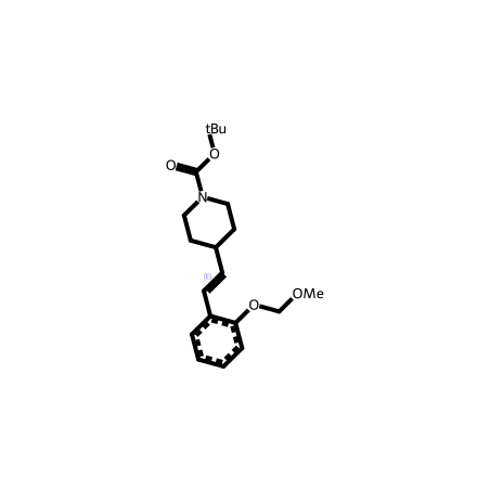 COCOc1ccccc1/C=C/C1CCN(C(=O)OC(C)(C)C)CC1